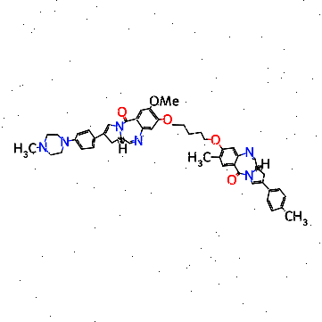 COc1cc2c(cc1OCCCCCOc1cc3c(cc1C)C(=O)N1C=C(c4ccc(C)cc4)C[C@H]1C=N3)N=C[C@@H]1CC(c3ccc(N4CCN(C)CC4)cc3)=CN1C2=O